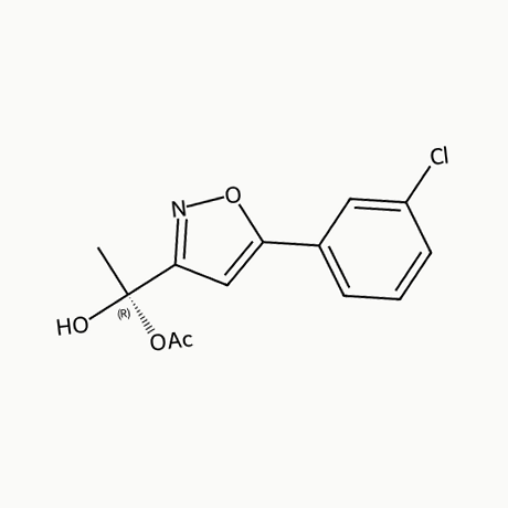 CC(=O)O[C@@](C)(O)c1cc(-c2cccc(Cl)c2)on1